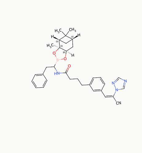 CC1(C)[C@@H]2C[C@H]3OB(C(Cc4ccccc4)NC(=O)CCCc4cccc(C=C(C#N)n5cncn5)c4)O[C@@]3(C)[C@H]1C2